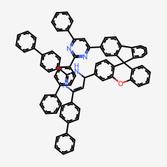 C1=C(c2ccc(-c3ccccc3)cc2)N=C(c2ccc(-c3ccccc3)cc2)NC1c1ccc2c(c1)Oc1ccccc1C21c2ccccc2-c2ccc(-c3cc(-c4ccccc4)nc(-c4ccc(-c5ccccc5)cc4)n3)cc21